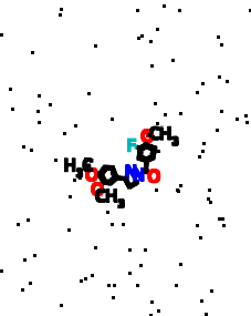 COc1ccc(C(=O)N2CCC(c3ccc(OC)c(OC)c3)=N2)cc1F